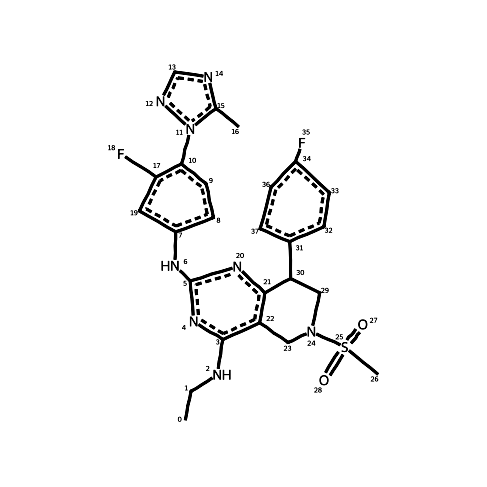 CCNc1nc(Nc2ccc(-n3ncnc3C)c(F)c2)nc2c1CN(S(C)(=O)=O)CC2c1ccc(F)cc1